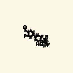 O=Cc1ccc(-c2ccc(C(O)(C(F)(F)F)C(F)(F)F)cc2)cc1F